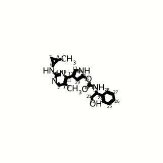 Cc1cnc(NC2CC2C)nc1-c1c[nH]c(OC(=O)NC(CO)c2ccccc2)c1